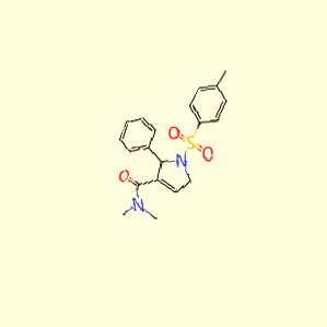 Cc1ccc(S(=O)(=O)N2CC=C(C(=O)N(C)C)C2c2ccccc2)cc1